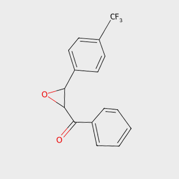 O=C(c1ccccc1)C1OC1c1ccc(C(F)(F)F)cc1